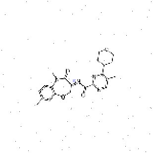 Cc1ccc2c(c1)OC/C(=N\C(=O)c1ncc(C)c(C3CCOCC3)n1)C(=O)N2C